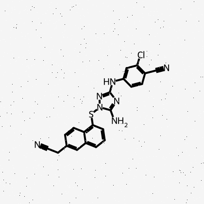 N#CCc1ccc2c(Sn3nc(Nc4ccc(C#N)c(Cl)c4)nc3N)cccc2c1